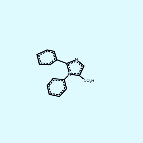 O=C(O)c1cnc(-c2ccccc2)n1-c1ccccc1